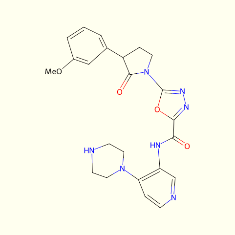 COc1cccc(C2CCN(c3nnc(C(=O)Nc4cnccc4N4CCNCC4)o3)C2=O)c1